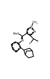 CS/C(=N\c1ccccc1C1CC2CCC1C2)c1cn(C)nc1C(F)F